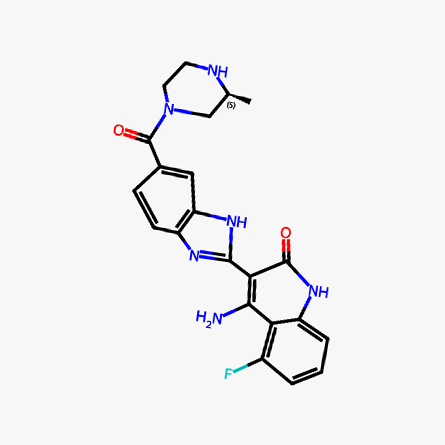 C[C@H]1CN(C(=O)c2ccc3nc(-c4c(N)c5c(F)cccc5[nH]c4=O)[nH]c3c2)CCN1